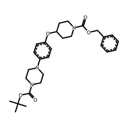 CC(C)(C)OC(=O)N1CCN(c2ccc(OC3CCN(C(=O)OCc4ccccc4)CC3)cc2)CC1